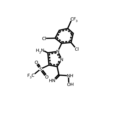 N=C(NO)c1nn(-c2c(Cl)cc(C(F)(F)F)cc2Cl)c(N)c1S(=O)(=O)C(F)(F)F